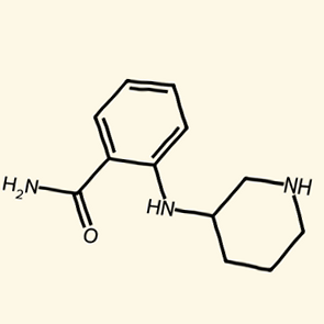 NC(=O)c1ccccc1NC1CCCNC1